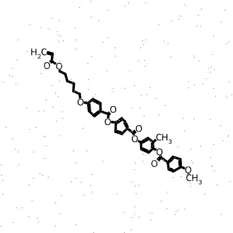 C=CC(=O)OCCCCCCOc1ccc(C(=O)Oc2ccc(C(=O)Oc3ccc(OC(=O)c4ccc(OC)cc4)c(C)c3)cc2)cc1